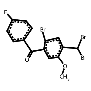 COc1cc(C(=O)c2ccc(F)cc2)c(Br)cc1C(Br)Br